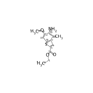 CCOC(=O)c1cc2c(C)c(N)c(OC)cc2s1